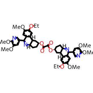 CCOc1cc2c(cc1OC)C(c1cnc(OC)c(OC)c1)=N[C@@H]1CC[C@@H](OC(=O)C(=O)O[C@@H]3CC[C@H]4N=C(c5cnc(OC)c(OC)c5)c5cc(OC)c(OCC)cc5[C@H]4C3)C[C@H]21